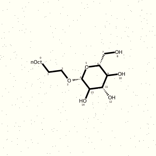 CCCCCCCCCCO[C@@H]1O[C@H](CO)C(O)[C@H](O)C1O